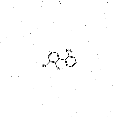 CC(C)c1cccc(-c2ccccc2N)c1C(C)C